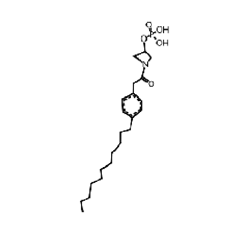 CCCCCCCCCCCc1ccc(CC(=O)N2CC(OP(=O)(O)O)C2)cc1